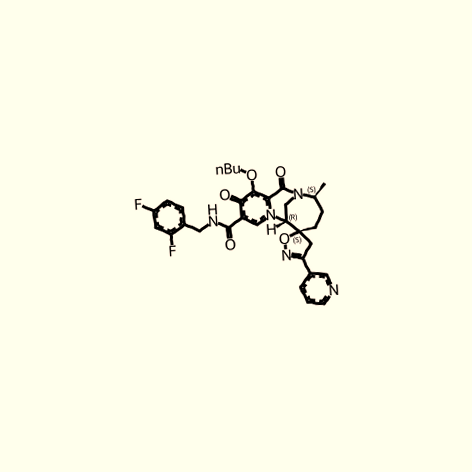 CCCCOc1c2n(cc(C(=O)NCc3ccc(F)cc3F)c1=O)[C@@H]1CN(C2=O)[C@@H](C)CC[C@]12CC(c1cccnc1)=NO2